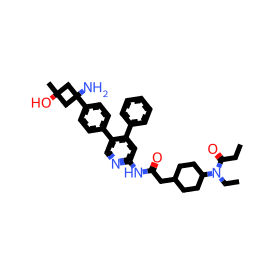 CCC(=O)N(CC)C1CCC(CC(=O)Nc2cc(-c3ccccc3)c(-c3ccc(C4(N)CC(C)(O)C4)cc3)cn2)CC1